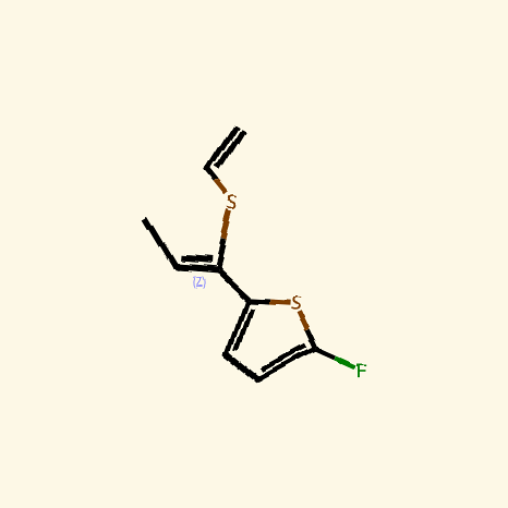 C=CS/C(=C\C)c1ccc(F)s1